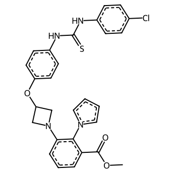 COC(=O)c1cccc(N2CC(Oc3ccc(NC(=S)Nc4ccc(Cl)cc4)cc3)C2)c1-n1cccc1